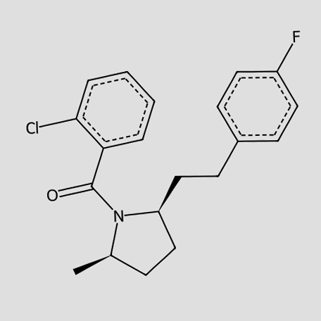 C[C@@H]1CC[C@H](CCc2ccc(F)cc2)N1C(=O)c1ccccc1Cl